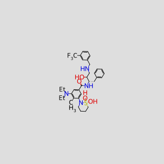 CCN(CC)c1cc(C(=O)N[C@@H](Cc2ccccc2)[C@@H](O)CNCc2cccc(C(F)(F)F)c2)cc(N2CCCCS2(O)O)c1C